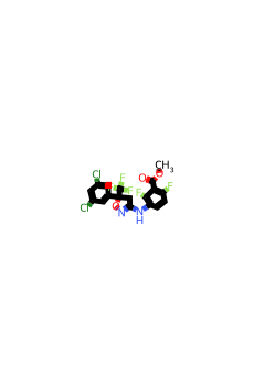 COC(=O)c1c(F)ccc(NC2=NOC(c3cc(Cl)cc(Cl)c3)(C(F)(F)F)C2)c1F